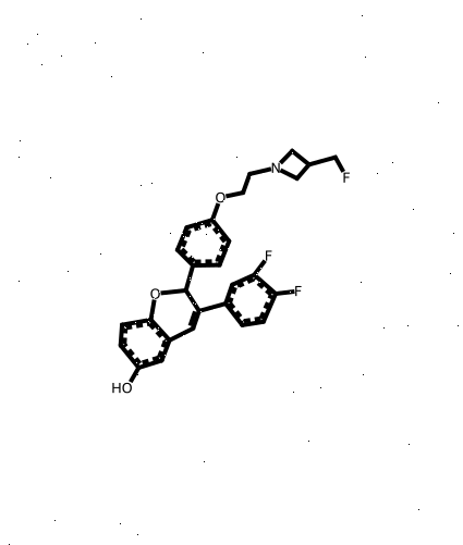 Oc1ccc2c(c1)C=C(c1ccc(F)c(F)c1)C(c1ccc(OCCN3CC(CF)C3)cc1)O2